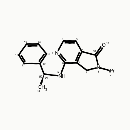 CC(C)N1Cc2c(ccnc2N[C@@H](C)c2ccccc2)C1=O